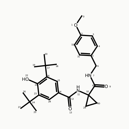 COc1ccc(CNC(=O)C2(NC(=O)c3cc(C(C)(C)C)c(O)c(C(C)(C)C)c3)CC2)cc1